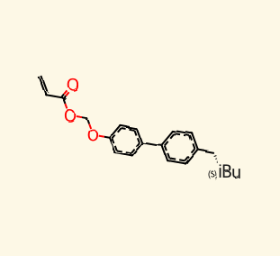 C=CC(=O)OCOc1ccc(-c2ccc(C[C@@H](C)CC)cc2)cc1